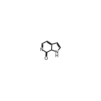 O=C1N=CC=C2C=CNC12